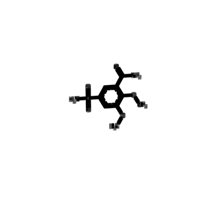 COc1cc(S(N)(=O)=O)cc(C(N)=O)c1OC